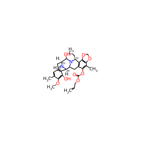 C=CCOC(=O)Oc1c(C)c2c(c3c1CC1[C@H]4c5c(cc(C)c(OC)c5O)C[C@@H](C(O)N1[C@H]3CC)N4C)OCO2